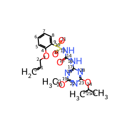 C=CCOc1ccccc1S(=O)(=O)NC(=O)Nc1nc(OC)nc(OC(C)C)n1